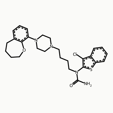 NC(=O)N(CCCCN1CCN(c2cccc3c2OCCCC3)CC1)c1sc2ccccc2c1Cl